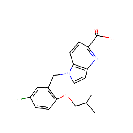 CC(C)COc1ccc(Br)cc1Cn1ccc2nc(C(=O)O)ccc21